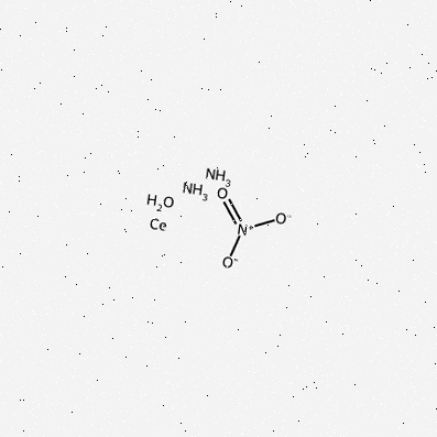 N.N.O.O=[N+]([O-])[O-].[Ce]